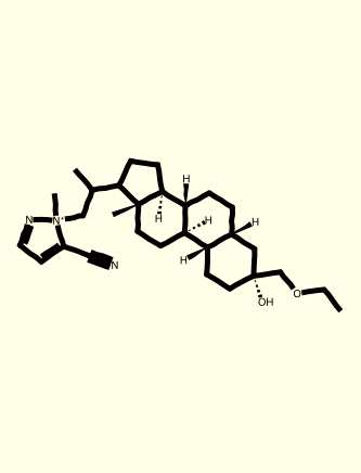 CCOC[C@@]1(O)CC[C@H]2[C@H](CC[C@@H]3[C@@H]2CC[C@]2(C)C(C(C)C[N+]4(C)N=CC=C4C#N)CC[C@@H]32)C1